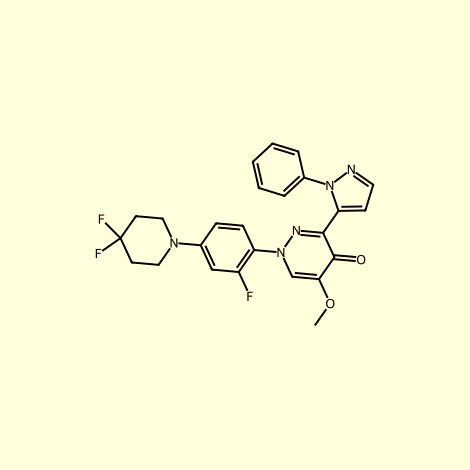 COc1cn(-c2ccc(N3CCC(F)(F)CC3)cc2F)nc(-c2ccnn2-c2ccccc2)c1=O